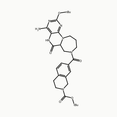 CCCCOc1nc(N)c2c(n1)N1CCCN(C(=O)c3ccc4c(c3)CN(C(=O)OC(C)(C)C)CC4)CC1C(=O)N2